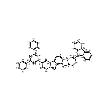 C1=CC2Oc3c(ccc4c3oc3ccc(-c5cc(-c6ccccc6)nc(-c6ccccc6)n5)cc34)C2C=C1n1c2ccccc2c2ccccc21